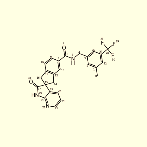 Cc1cc(CNC(=O)c2ccc3c(c2)CC2(C3)C(=O)Nc3ncccc32)cc(C(F)(F)F)c1